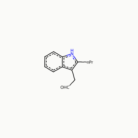 CCCc1[nH]c2ccccc2c1CC=O